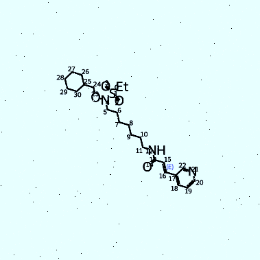 CCS(=O)(=O)N(CCCCCCCNC(=O)/C=C/c1cccnc1)OCC1CCCCC1